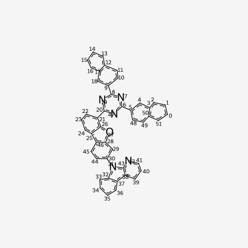 c1ccc2cc(-c3nc(-c4ccc5ccccc5c4)nc(-c4cccc5c4oc4cc(-n6c7ccccc7c7cccnc76)ccc45)n3)ccc2c1